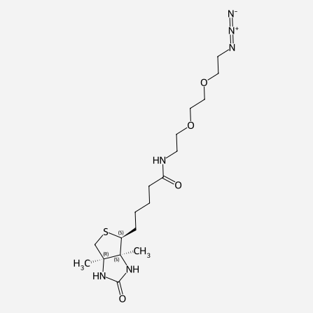 C[C@]12CS[C@@H](CCCCC(=O)NCCOCCOCCN=[N+]=[N-])[C@@]1(C)NC(=O)N2